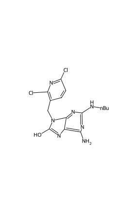 CCCCNc1nc(N)c2nc(O)n(Cc3ccc(Cl)nc3Cl)c2n1